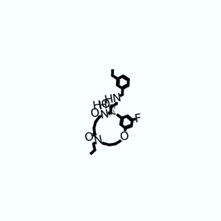 CCCN1CCCCOc2cc(F)cc(c2)C[C@@H]([C@H](O)CNCc2cccc(CC)c2)NC(=O)CCC1=O